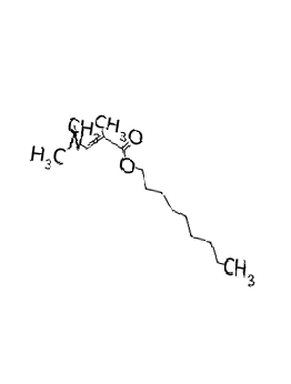 CCCCCCCCCOC(=O)C(C)=CN(C)C